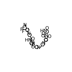 N#Cc1ccc(N2CCC(C(=O)Nc3ccc(OC4CCN(CC5CCN(c6ccc7c(c6)C(=O)N(C6CCC(=O)NC6=O)C7=O)CC5)CC4)nn3)CC2)cc1C(F)(F)F